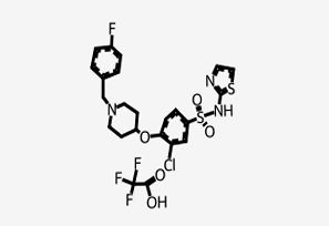 O=C(O)C(F)(F)F.O=S(=O)(Nc1nccs1)c1ccc(OC2CCN(Cc3ccc(F)cc3)CC2)c(Cl)c1